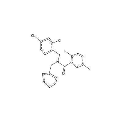 O=C(c1cc(F)ccc1F)N(Cc1cccnc1)Cc1ccc(Cl)cc1Cl